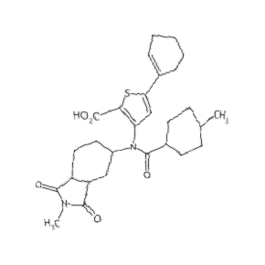 CC1CCC(C(=O)N(c2cc(C3=CCCCC3)sc2C(=O)O)C2CCC3C(=O)N(C)C(=O)C3C2)CC1